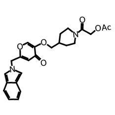 CC(=O)OCC(=O)N1CCC(COc2coc(Cn3cc4ccccc4c3)cc2=O)CC1